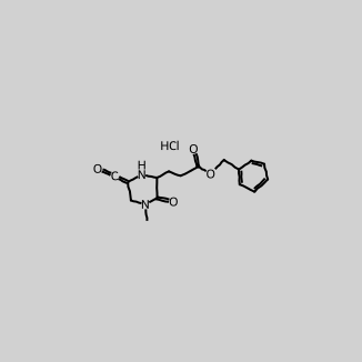 CN1CC(=C=O)NC(CCC(=O)OCc2ccccc2)C1=O.Cl